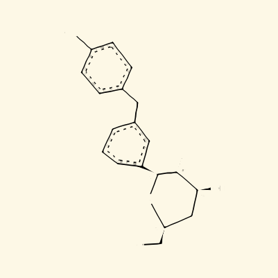 O=C(O)c1ccc(Cc2cccc([C@@H]3S[C@H](CO)C[C@H](O)[C@H]3O)c2)cc1